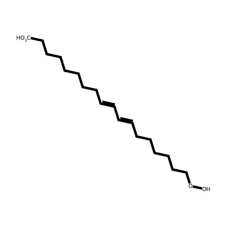 O=C(O)CCCCCCCC=CC=CCCCCCCOO